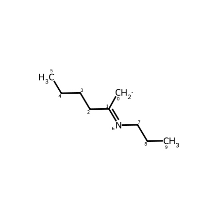 [CH2]/C(CCCC)=N\CCC